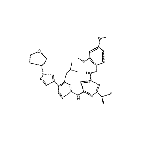 COc1ccc(CNc2cc(Nc3cc(OC(C)C)c(-c4cnn([C@@H]5CCOC5)c4)cn3)nc([C@H](C)F)n2)c(OC)c1